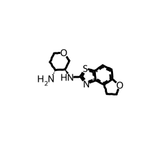 N[C@@H]1CCOC[C@H]1Nc1nc2c3c(ccc2s1)OCC3